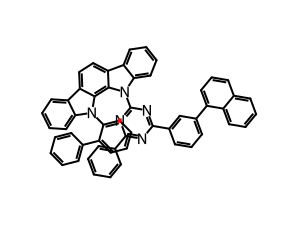 c1ccc(-c2nc(-c3cccc(-c4cccc5ccccc45)c3)nc(-n3c4ccccc4c4ccc5c6ccccc6n(-c6ccccc6-c6ccccc6)c5c43)n2)cc1